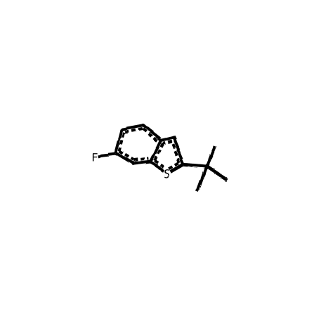 CC(C)(C)c1cc2ccc(F)cc2s1